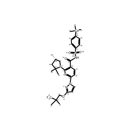 C[C@@H]1CN(c2nc(-n3ccc(OCC(C)(C)C(F)(F)F)n3)ccc2C(=O)NS(=O)(=O)c2cc[c]([Ge]([CH3])([CH3])[CH3])cc2)C(C)(C)C1